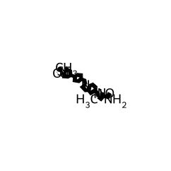 Cc1cc(C(N)=O)nn1-c1ccc2c(ccn2Cc2ccc(C3=CCN([S+](C)[O-])CC3)cc2)c1